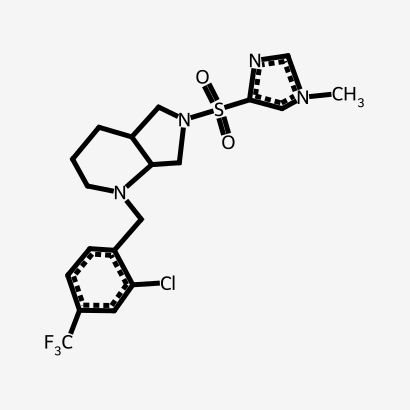 Cn1cnc(S(=O)(=O)N2CC3CCCN(Cc4ccc(C(F)(F)F)cc4Cl)C3C2)c1